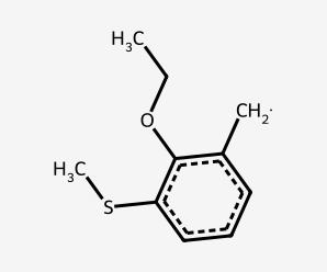 [CH2]c1cccc(SC)c1OCC